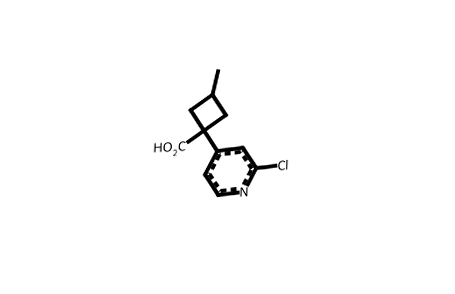 CC1CC(C(=O)O)(c2ccnc(Cl)c2)C1